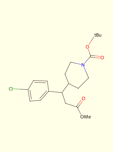 COC(=O)CC(c1ccc(Cl)cc1)C1CCN(C(=O)OC(C)(C)C)CC1